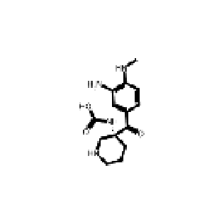 CNc1ccc(C(=O)[C@@]2(NC(=O)O)CCCNC2)cc1N